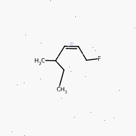 CCC(C)/C=C\CF